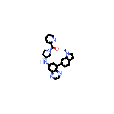 Cn1ccc2ccc(-c3cc(N[C@H]4CCN(C(=O)c5ccccn5)C4)cc4nccnc34)cc21